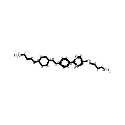 CCCCCOc1cnc(-c2ccc(CCC3CCC(CCCCC)CC3)cc2)nc1